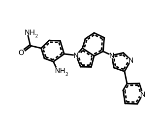 NC(=O)c1ccc(-n2ccc3c(-n4cnc(-c5cccnc5)c4)cccc32)c(N)c1